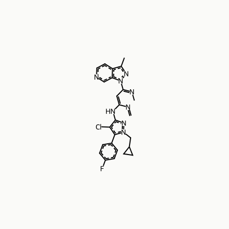 C=N/C(=C\C(=N/C)n1nc(C)c2ccncc21)Nc1nn(CC2CC2)c(-c2ccc(F)cc2)c1Cl